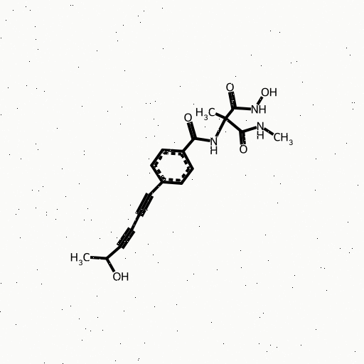 CNC(=O)C(C)(NC(=O)c1ccc(C#CC#CC(C)O)cc1)C(=O)NO